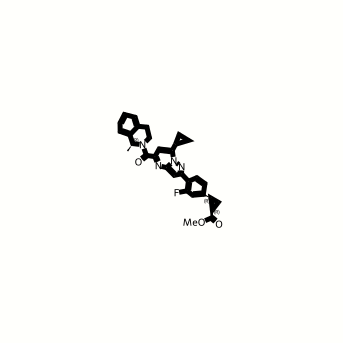 COC(=O)[C@@H]1C[C@H]1c1ccc(-c2cc3nc(C(=O)N4CCc5ccccc5[C@H]4C)cc(C4CC4)n3n2)c(F)c1